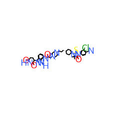 C[C@@H]1CN(CCC[C@H]2CC[C@H](N3C(=S)N(c4ccc(C#N)c(Cl)c4)C(=O)C3(C)C)CC2)C[C@H](C)N1CC(=O)Nc1cccc2c(C3CCC(=O)NC3=O)nn(C)c12